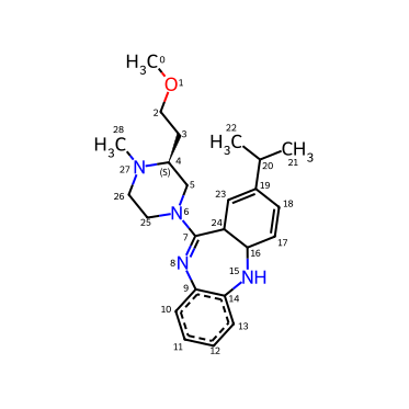 COCC[C@H]1CN(C2=Nc3ccccc3NC3C=CC(C(C)C)=CC23)CCN1C